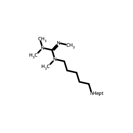 CCCCCCCCCCCCN(C)/C(=N\C)N(C)C